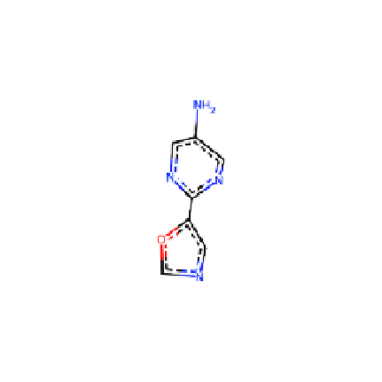 Nc1cnc(-c2cnco2)nc1